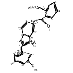 COc1ccccc1C(=O)Nc1ccc2nc(-c3cccc(F)c3)[nH]c2c1